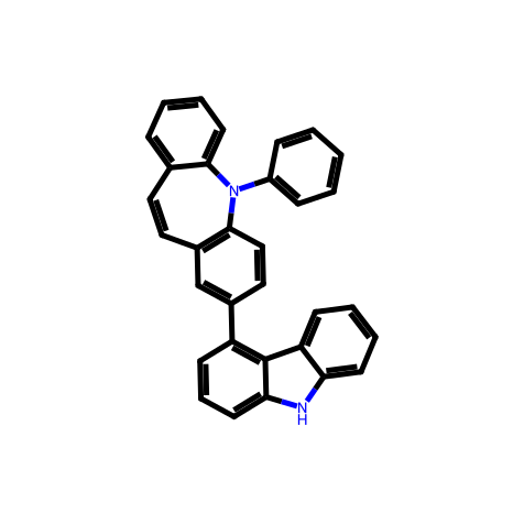 C1=Cc2cc(-c3cccc4[nH]c5ccccc5c34)ccc2N(c2ccccc2)c2ccccc21